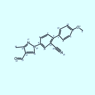 COc1ccc(-c2ccc(-n3cc(C=O)c(C)n3)cc2C#N)cc1